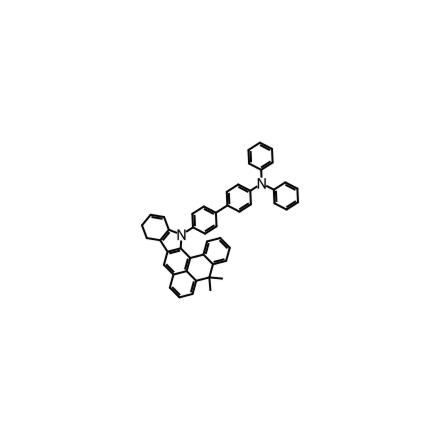 CC1(C)c2ccccc2-c2c3c1cccc3cc1c3c(n(-c4ccc(-c5ccc(N(c6ccccc6)c6ccccc6)cc5)cc4)c21)C=CCC3